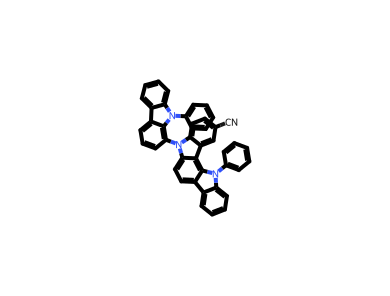 N#Cc1ccc2c(c1)c1c(ccc3c4ccccc4n(-c4ccccc4)c31)n2-c1cccc2c3ccccc3n(-c3ccccc3)c12